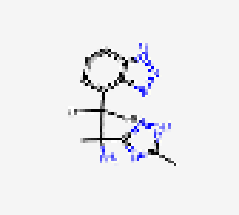 CCCCC(CC)(c1cccc2[nH]nnc12)C(C)(N)c1n[nH]c(C)n1